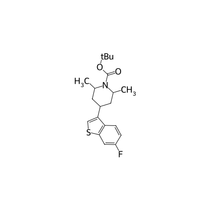 CC1CC(c2csc3cc(F)ccc23)CC(C)N1C(=O)OC(C)(C)C